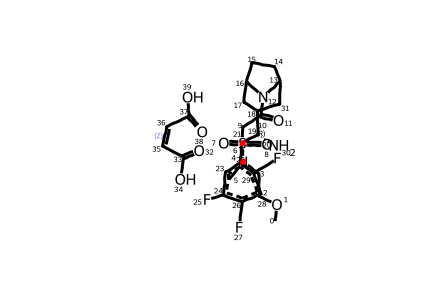 COCCN(C)S(=O)(=O)CC(=O)N1C2CCC1CC([C@H](N)Cc1cc(F)c(F)cc1F)C2.O=C(O)/C=C\C(=O)O